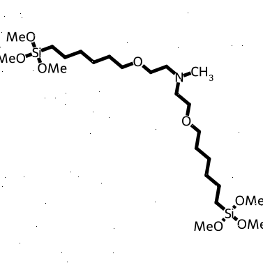 CO[Si](CCCCCCOCCN(C)CCOCCCCCC[Si](OC)(OC)OC)(OC)OC